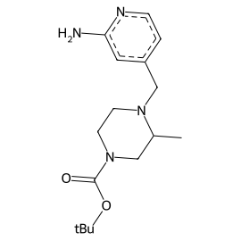 CC1CN(C(=O)OC(C)(C)C)CCN1Cc1ccnc(N)c1